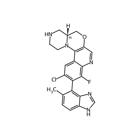 Cc1ccc2[nH]cnc2c1-c1c(Cl)cc2c3c(cnc2c1F)OC[C@H]1CNCCN31